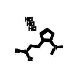 CCN(CC)CCC1=[C]([Ti]([CH3])[CH3])CC=C1.Cl.Cl.Cl